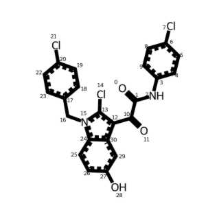 O=C(Nc1ccc(Cl)cc1)C(=O)c1c(Cl)n(Cc2ccc(Cl)cc2)c2ccc(O)cc12